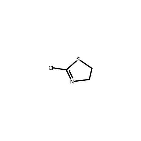 ClC1=NCCS1